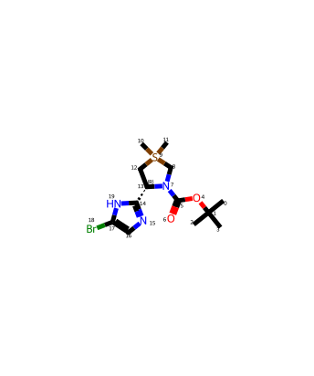 CC(C)(C)OC(=O)N1CS(C)(C)C[C@H]1c1ncc(Br)[nH]1